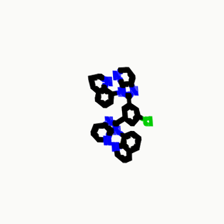 Clc1cc(-c2nc3cccnc3n2-c2cccc3cccnc23)cc(-c2nc3cccnc3n2-c2cccc3cccnc23)c1